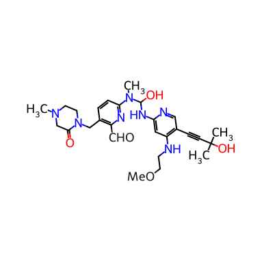 COCCNc1cc(NC(O)N(C)c2ccc(CN3CCN(C)CC3=O)c(C=O)n2)ncc1C#CC(C)(C)O